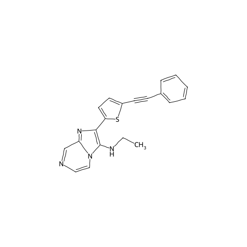 CCNc1c(-c2ccc(C#Cc3ccccc3)s2)nc2cnccn12